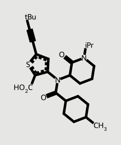 CC1CCC(C(=O)N(c2cc(C#CC(C)(C)C)sc2C(=O)O)C2CCCN(C(C)C)C2=O)CC1